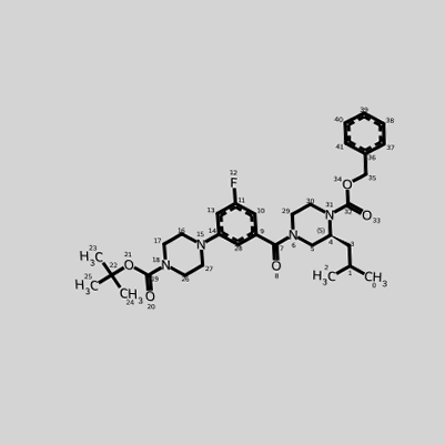 CC(C)C[C@H]1CN(C(=O)c2cc(F)cc(N3CCN(C(=O)OC(C)(C)C)CC3)c2)CCN1C(=O)OCc1ccccc1